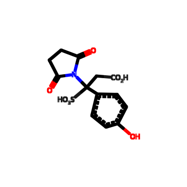 O=C(O)CC(c1ccc(O)cc1)(N1C(=O)CCC1=O)S(=O)(=O)O